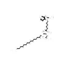 CCCCCCCCCCCCCCCCOC(=O)[C@H](CC(C)C)NC(=O)CCCCCn1c(C)nc2cnccc21